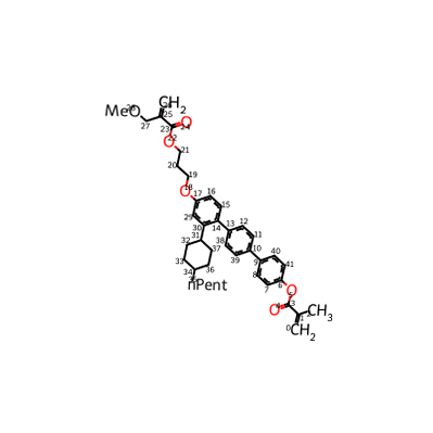 C=C(C)C(=O)Oc1ccc(-c2ccc(-c3ccc(OCCCOC(=O)C(=C)COC)cc3C3CCC(CCCCC)CC3)cc2)cc1